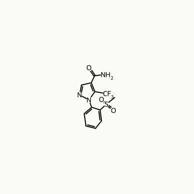 CS(=O)(=O)c1ccccc1-n1ncc(C(N)=O)c1C(F)(F)F